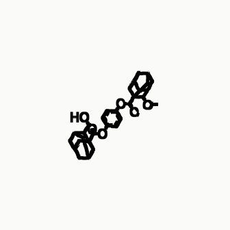 COC1C2CC3CC(C2)CC1(C(=O)Oc1ccc(OC(=O)C24CC5CC(CC(C5)C2CO)C4)cc1)C3